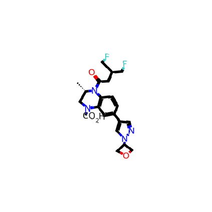 C[C@H]1CN(C(=O)O)c2cc(-c3cnn(C4COC4)c3)ccc2N1C(=O)CC(CF)CF